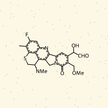 CNC1CSc2c(C)c(F)cc3nc4c(c1c23)Cn1c-4cc(C(O)C=O)c(COC)c1=O